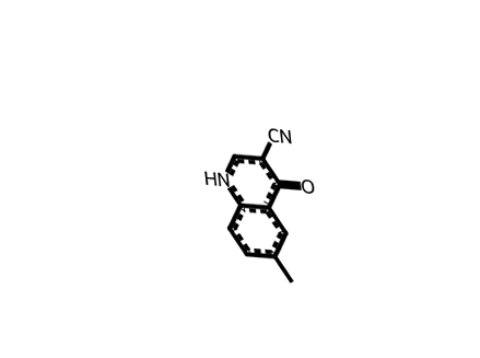 Cc1ccc2[nH]cc(C#N)c(=O)c2c1